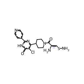 NS/C=C(\N)C(=O)N1CCC(c2nc(-c3ccncc3)[nH]c(=O)c2Cl)CC1